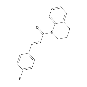 O=C(C=Cc1ccc(F)cc1)N1CCCc2ccccc21